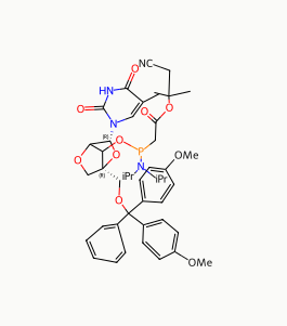 COc1ccc(C(OC[C@]23COC(C2OP(CC(=O)OC(C)(C)CC#N)N(C(C)C)C(C)C)[C@H](n2cc(C)c(=O)[nH]c2=O)O3)(c2ccccc2)c2ccc(OC)cc2)cc1